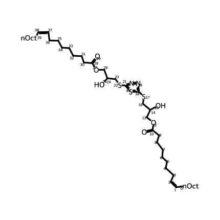 CCCCCCCC/C=C\CCCCCCCC(=O)OCC(O)CSc1nnc(SCC(O)COC(=O)CCCCCCC/C=C\CCCCCCCC)s1